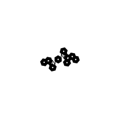 c1ccc2c(c1)ccc1c2c2ccccc2c2c1c1ccccc1n2-c1ccc(-n2c3ccccc3c3c4ccccc4ccc32)cc1